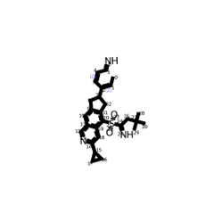 C/C=C(\C=C/C=N)C1Cc2cc3cnc(C4CC4)cc3c(S(=O)(=O)C(=N)CC(C)(C)C)c2C1